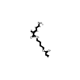 C=CC(=O)OCCCCOC(=O)C(C)=CCCN